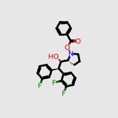 O=C(ON1CCC[C@@H]1[C@H](O)[C@H](c1cccc(F)c1)c1cccc(F)c1F)c1ccccc1